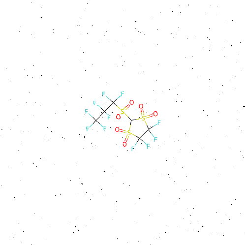 O=S(=O)(C1S(=O)(=O)C(F)(F)C(F)(F)S1(=O)=O)C(F)(F)C(F)(F)C(F)(F)F